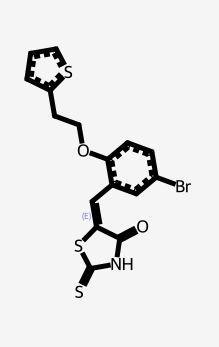 O=C1NC(=S)S/C1=C/c1cc(Br)ccc1OCCc1cccs1